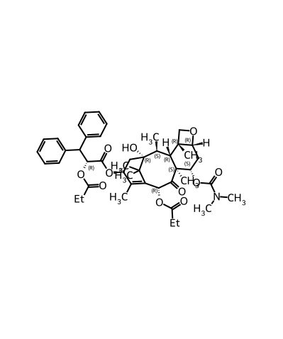 CCC(=O)O[C@H]1C(=O)[C@]2(C)[C@@H](OC(=O)N(C)C)C[C@H]3OC[C@@]3(C)[C@H]2[C@H](C)[C@]2(O)C[C@H](OC(=O)[C@H](OC(=O)CC)C(c3ccccc3)c3ccccc3)C(C)=C1C2(C)C